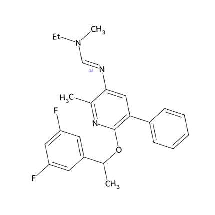 CCN(C)/C=N/c1cc(-c2ccccc2)c(OC(C)c2cc(F)cc(F)c2)nc1C